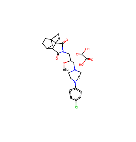 CCCCOC(CN1CCN(c2ccc(Cl)cc2)CC1)CN1C(=O)C2C3CC[C@@H](C3)[C@@H]2C1=O.O=C(O)C(=O)O